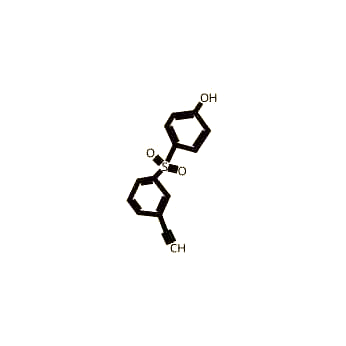 C#Cc1cccc(S(=O)(=O)c2ccc(O)cc2)c1